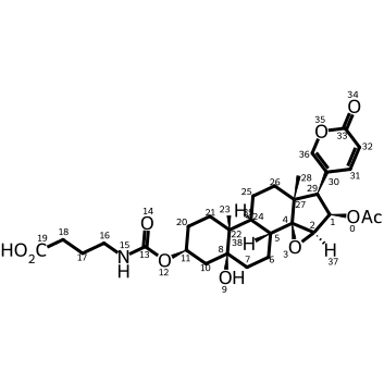 CC(=O)O[C@H]1[C@H]2O[C@]23[C@@H]2CC[C@]4(O)C[C@@H](OC(=O)NCCCC(=O)O)CC[C@]4(C)[C@H]2CC[C@]3(C)[C@H]1c1ccc(=O)oc1